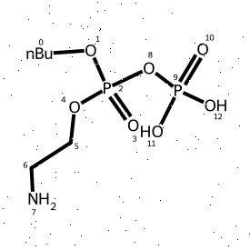 CCCCOP(=O)(OCCN)OP(=O)(O)O